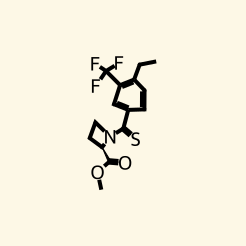 CCc1ccc(C(=S)N2CC[C@@H]2C(=O)OC)cc1C(F)(F)F